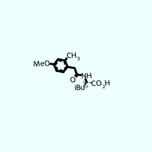 CC[C@H](C)[C@H](NC(=O)Cc1ccc(OC)cc1C)C(=O)O